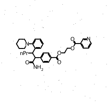 CCCC(c1ccccc1N1CCCCC1)C(C(N)=O)c1ccc(C(=O)OCCOC(=O)c2cccnc2)cc1